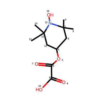 CC1(C)CC(OC(=O)C(=O)O)CC(C)(C)N1O